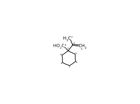 C=C(C)C1(C(=O)O)CCCCC1